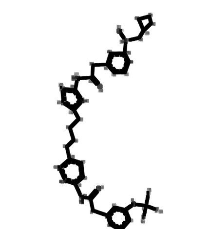 O=C(Cc1cccc(OC(F)(F)F)c1)Nc1ccc(CCCCc2nnc(NC(=O)Cc3cccc([S+]([O-])CC4CCC4)c3)s2)nn1